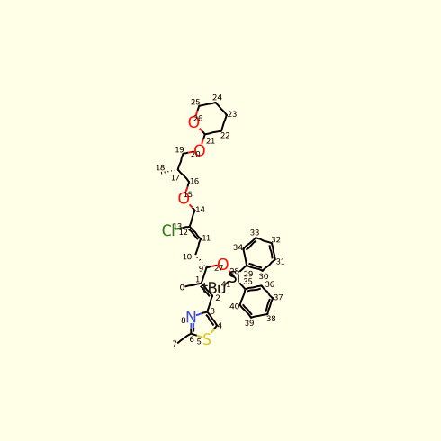 C/C(=C\c1csc(C)n1)[C@H](C/C=C(\Cl)COC[C@H](C)COC1CCCCO1)O[Si](c1ccccc1)(c1ccccc1)C(C)(C)C